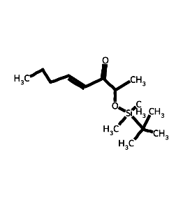 CCCC=CC(=O)C(C)O[Si](C)(C)C(C)(C)C